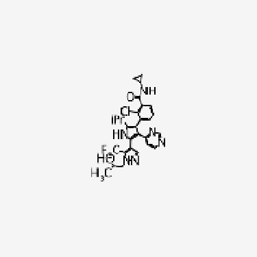 CC(O)Cn1ncc(-c2[nH]c(C(C)C)c(-c3cccc(C(=O)NC4CC4)c3Cl)c2-c2ccncn2)c1C(F)(F)F